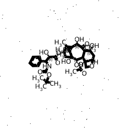 CC(=O)O[C@@]12CO[C@@H]1C[C@H](O)[C@@]1(C)C(=O)[C@H](O)C3=C(C)[C@@H](OC(=O)[C@H](O)C(NC(=O)OC(C)(C)C)c4ccccc4)C[C@@](O)([C@@H](O)C12)C3(C)C